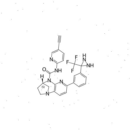 C#Cc1ccc(NC(=O)N2c3nc(-c4cccc(C5(C(F)(F)F)NN5)c4)ccc3N3CC[C@H]2C3)nc1